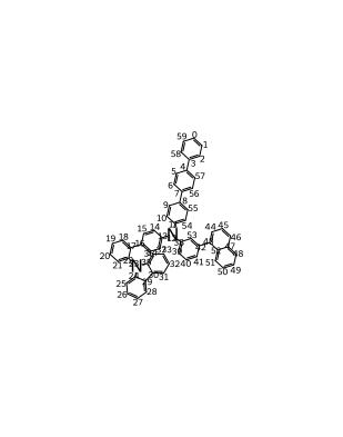 c1ccc(-c2ccc(-c3ccc(N(c4ccc(-c5ccccc5-n5c6ccccc6c6ccccc65)cc4)c4cccc(-c5cccc6ccccc56)c4)cc3)cc2)cc1